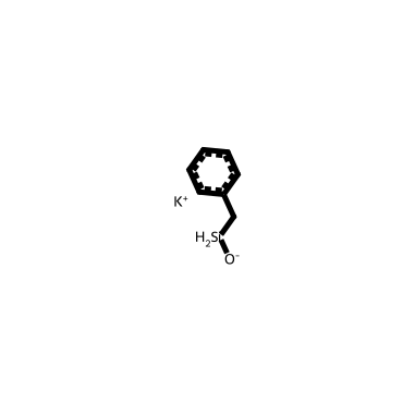 [K+].[O-][SiH2]Cc1ccccc1